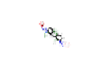 O=C=Nc1ccc(F)[c]([Ti][c]2c(F)ccc(N=C=O)c2F)c1F